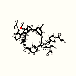 C=CC(=O)N1CCC(C(=O)N(C)[C@H](C(=O)N[C@H]2Cc3cc(C)cc(c3)-c3ccc4c(c3)c(c(-c3cccnc3[C@H](C)OC)n4CC)CC(C)(C)COC(=O)[C@@H]3CCCN(N3)C2=O)C(C)C)C1